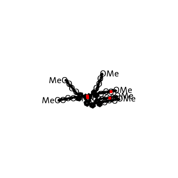 COCCOCCOCCOCc1cccc2c(-c3cccc(CN4[C@H](c5cccc(-c6ccc(COCCOCCOCCOC)c7c(COCCOCCOCCOC)cccc67)n5)CCC[C@H]4c4cccc(-c5ccc(COCCOCCOCCOC)c6c(COCCOCCOCCOC)cccc56)n4)n3)ccc(COCCOCCOCCOC)c12